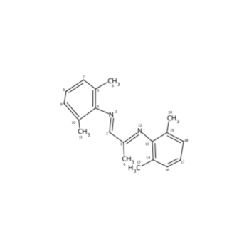 CC(C=Nc1c(C)cccc1C)=Nc1c(C)cccc1C